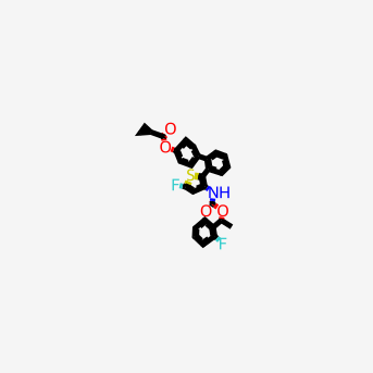 CC(OC(=O)Nc1cc(F)sc1-c1ccccc1-c1ccc(OC(=O)C2CC2)cc1)c1ccccc1F